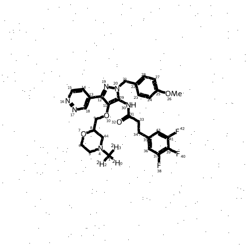 [2H]C([2H])([2H])N1CCOC(COc2c(-c3ccnnc3)nn(Cc3ccc(OC)cc3)c2NC(=O)CCc2cc(F)c(F)c(F)c2)C1